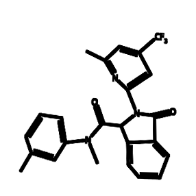 Cc1cccc(N(C)C(=O)C2c3ccccc3C(=O)N2c2cc(C(F)(F)F)cc(C)n2)c1